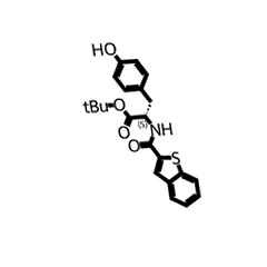 CC(C)(C)OC(=O)[C@H](Cc1ccc(O)cc1)NC(=O)c1cc2ccccc2s1